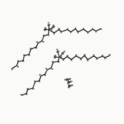 CCCCCCCCCCCCP([O-])([O-])([O-])CCCCCCCCCCCC.CCCCCCCCCCCCP([O-])([O-])([O-])CCCCCCCCCCCC.[Zn+2].[Zn+2].[Zn+2]